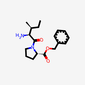 CC[C@H](C)[C@H](N)C(=O)N1CCC[C@H]1C(=O)OCc1ccccc1